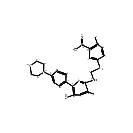 Cc1ccc(OCNc2nc(-c3ccc(N4CCOCC4)cc3)c(Cl)cc2C)cc1[N+](=O)O